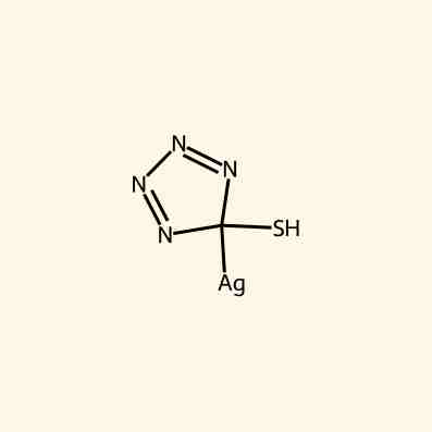 S[C]1([Ag])N=NN=N1